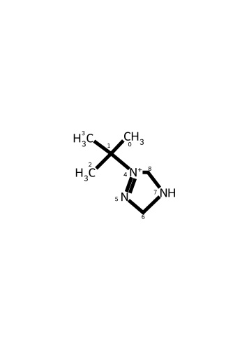 CC(C)(C)[N+]1=NCNC1